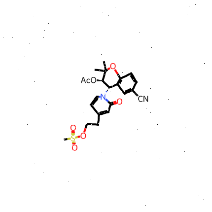 CC(=O)O[C@@H]1[C@@H](n2ccc(CCOS(C)(=O)=O)cc2=O)c2cc(C#N)ccc2OC1(C)C